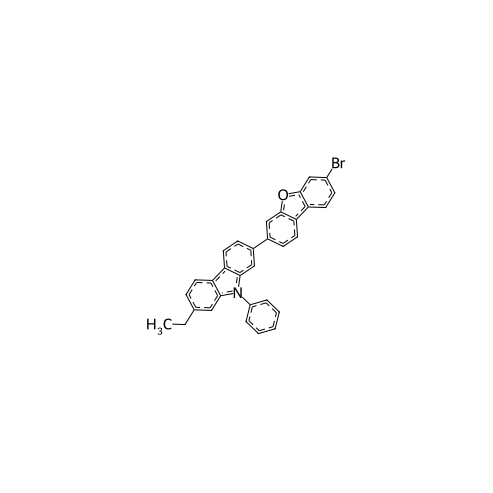 CCc1ccc2c3ccc(-c4ccc5c(c4)oc4cc(Br)ccc45)cc3n(-c3ccccc3)c2c1